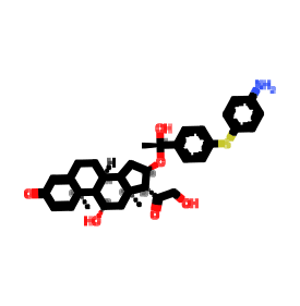 C[C@](O)(O[C@@H]1CC2[C@@H]3CCC4=CC(=O)C=C[C@]4(C)C3[C@@H](O)C[C@]2(C)[C@H]1C(=O)CO)c1ccc(Sc2ccc(N)cc2)cc1